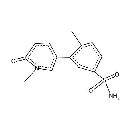 Cc1ccc(S(N)(=O)=O)cc1-c1ccc(=O)n(C)c1